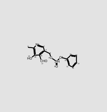 Cc1ncc(CO[PH](=O)Oc2ccccc2)c(C=O)c1O